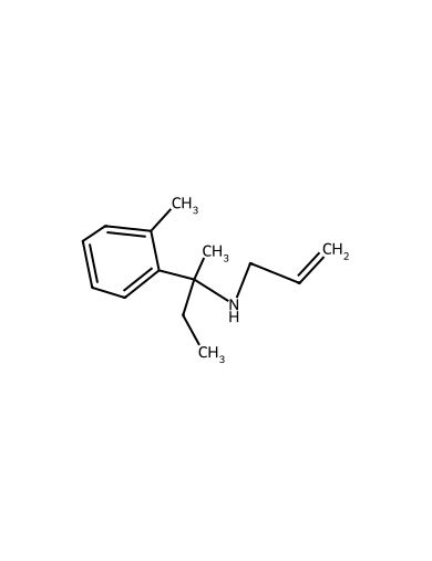 C=CCNC(C)(CC)c1ccccc1C